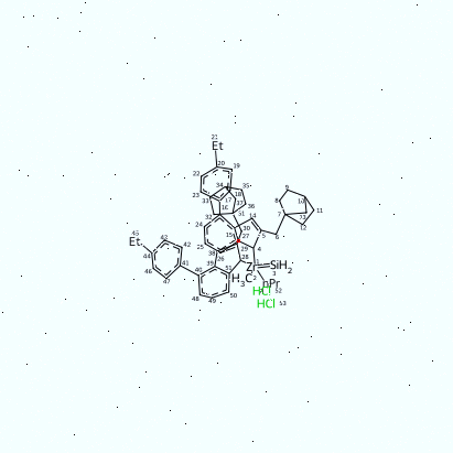 CC[CH2][Zr]([CH3])(=[SiH2])([CH]1C(CC23CCC(CC2)C3)=Cc2c(-c3ccc(CC)cc3)cccc21)[CH]1C(CC23CCC(CC2)C3)=Cc2c(-c3ccc(CC)cc3)cccc21.Cl.Cl